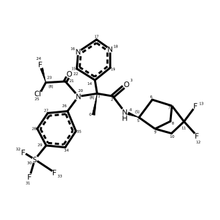 C[C@](C(=O)N[C@H]1CC2CC1CC2(F)F)(c1cncnc1)N(C(=O)[C@H](F)Cl)c1ccc(S(F)(F)F)cc1